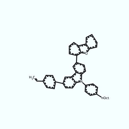 C=Cc1ccc(-c2ccc3c(c2)c2cc(-c4cccc5c4oc4ccccc45)ccc2n3-c2ccc(CCCCCCCC)cc2)cc1